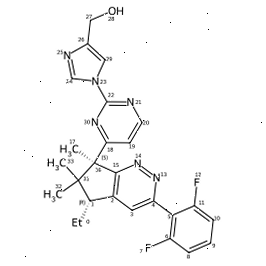 CC[C@H]1c2cc(-c3c(F)cccc3F)nnc2[C@](C)(c2ccnc(-n3cnc(CO)c3)n2)C1(C)C